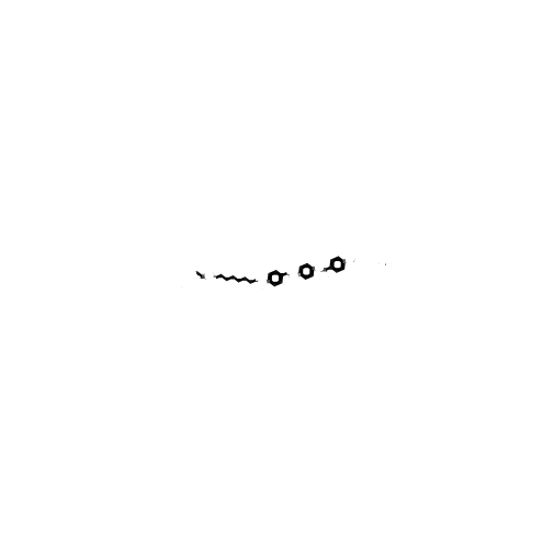 C=CC(=O)OCCCCCCCCOc1ccc(COc2ccc(OC(=O)c3ccc(OCCCCCC)cc3)cc2)cc1